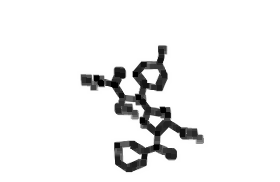 Cc1nc(N(c2ccc(F)cc2)C(C)C(N)=O)sc1C(=O)c1ccccc1